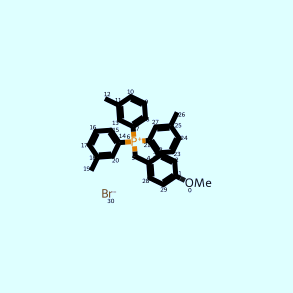 COc1ccc(C[P+](c2cccc(C)c2)(c2cccc(C)c2)c2cccc(C)c2)cc1.[Br-]